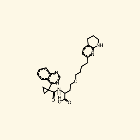 O=C(O)C(CCOCCCCc1ccc2c(n1)NCCC2)NC(=O)C1(c2ncnc3ccccc23)CC1